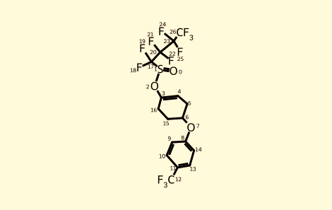 O=S(OC1=CCC(Oc2ccc(C(F)(F)F)cc2)CC1)C(F)(F)C(F)(F)C(F)(F)C(F)(F)F